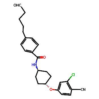 N#Cc1ccc(O[C@H]2CC[C@H](NC(=O)c3ccc(CCCCC=O)cc3)CC2)cc1Cl